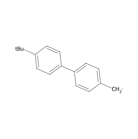 [CH2]c1ccc(-c2ccc(C(C)(C)C)cc2)cc1